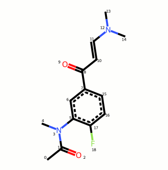 CC(=O)N(C)c1cc(C(=O)/C=C/N(C)C)ccc1F